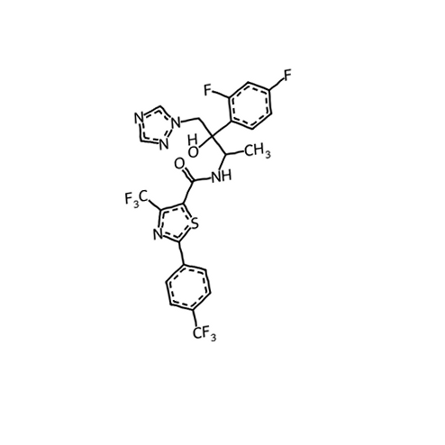 CC(NC(=O)c1sc(-c2ccc(C(F)(F)F)cc2)nc1C(F)(F)F)C(O)(Cn1cncn1)c1ccc(F)cc1F